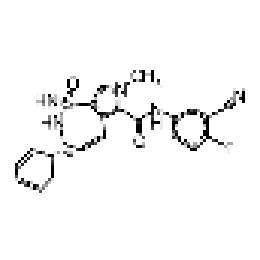 Cn1cc2c(c1C(=O)Nc1ccc(F)c(C#N)c1)C=C[C@H](C1C=CC=CC1)NS2(=N)=O